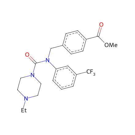 CCN1CCN(C(=O)N(Cc2ccc(C(=O)OC)cc2)c2cccc(C(F)(F)F)c2)CC1